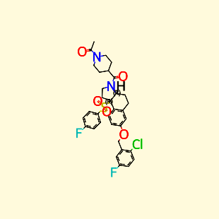 CC(=O)N1CCC(C(=O)N2CC[C@@]3(S(=O)(=O)c4ccc(F)cc4)c4ccc(OCc5cc(F)ccc5Cl)cc4CC[C@@H]23)CC1